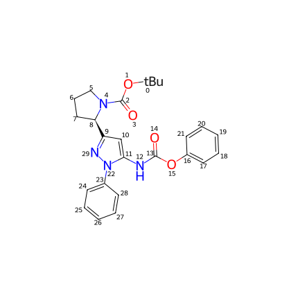 CC(C)(C)OC(=O)N1CCC[C@@H]1c1cc(NC(=O)Oc2ccccc2)n(-c2ccccc2)n1